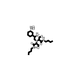 CCCCNC(=O)C(C=O)N(CC(N)C1CCCCC1)C(C=O)C(=O)NCCCC.Cl.Cl